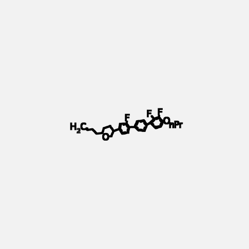 C=CCCC1CCC(c2ccc(-c3ccc(-c4ccc(OCCC)c(F)c4F)cc3)c(F)c2)CO1